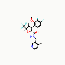 COc1c([C@H]2[C@H](C(=O)NCc3cnccc3C)O[C@@](C)(C(F)(F)F)[C@H]2C)ccc(F)c1F